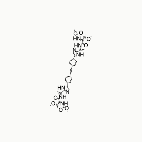 COC(=O)N[C@H](C(=O)N[C@@H](C)c1ncc(-c2ccc(C#Cc3ccc(-c4cnc([C@H](C)NC(=O)[C@@H](NC(=O)OC)[C@@H](C)OC)[nH]4)cc3)cc2)[nH]1)[C@@H](C)OC